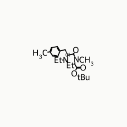 CCN(CC)[C@@H](Cc1ccc(C)cc1)C(=O)N(C)CC(=O)OC(C)(C)C